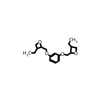 CCC1COC1COc1cccc(OCC2OCC2CC)c1